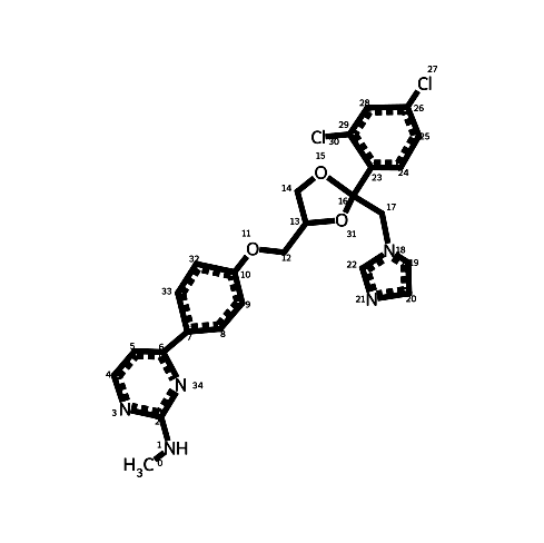 CNc1nccc(-c2ccc(OCC3COC(Cn4ccnc4)(c4ccc(Cl)cc4Cl)O3)cc2)n1